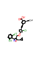 C#Cc1cc(C#Cc2ccc(OCc3c(-c4c(Cl)cccc4Cl)noc3C3CC3)cc2Cl)cc(C(=O)O)c1